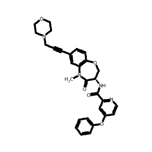 CN1C(=O)[C@H](NC(=O)c2cc(Oc3ccccc3)ccn2)COc2ccc(C#CCN3CCOCC3)cc21